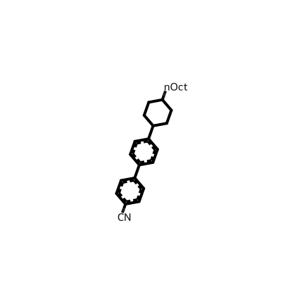 CCCCCCCCC1CCC(c2ccc(-c3ccc(C#N)cc3)cc2)CC1